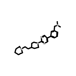 CN(C)Cc1cccc(-c2cnc(N3CCC(CCN4CCCCC4)CC3)nc2)c1